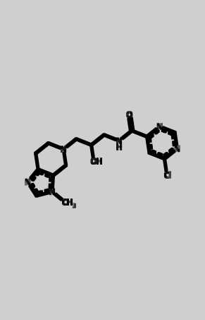 Cn1cnc2c1CN(CC(O)CNC(=O)c1cc(Cl)ncn1)CC2